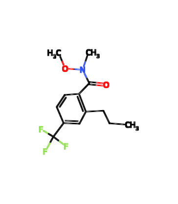 CCCc1cc(C(F)(F)F)ccc1C(=O)N(C)OC